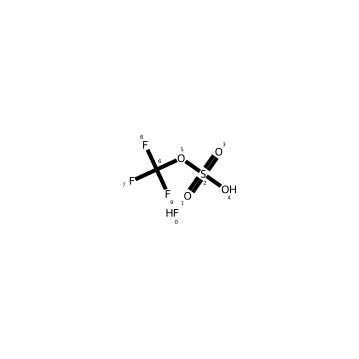 F.O=S(=O)(O)OC(F)(F)F